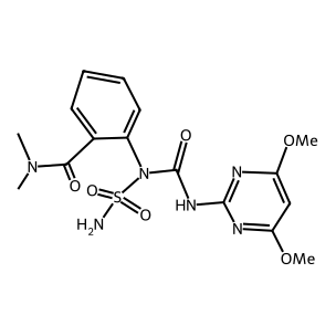 COc1cc(OC)nc(NC(=O)N(c2ccccc2C(=O)N(C)C)S(N)(=O)=O)n1